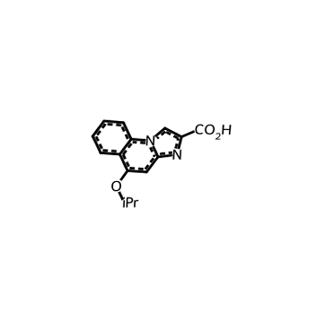 CC(C)Oc1cc2nc(C(=O)O)cn2c2ccccc12